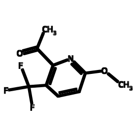 COc1ccc(C(F)(F)F)c(C(C)=O)n1